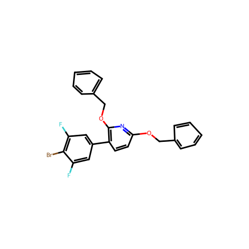 Fc1cc(-c2ccc(OCc3ccccc3)nc2OCc2ccccc2)cc(F)c1Br